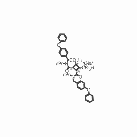 CCCN(Cc1ccc(Oc2ccccc2)cc1)C(=O)[C@H]1[C@@H](C(=O)O)[C@H](C(=O)O)[C@@H]1C(=O)N(CCC)Cc1ccc(Oc2ccccc2)cc1.C[O-].[Na+]